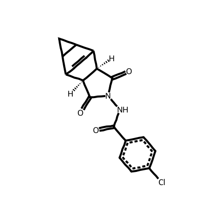 O=C(NN1C(=O)[C@@H]2C3C=CC(C4CC43)[C@@H]2C1=O)c1ccc(Cl)cc1